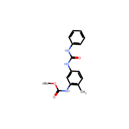 CCCCOC(=O)Nc1cc(NC(=O)Nc2ccccc2)ccc1C